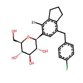 CCc1c([C@@H]2O[C@H](CO)[C@@H](O)[C@H](O)[C@H]2O)cc(Cc2ccc(F)cc2)c2c1CCC2